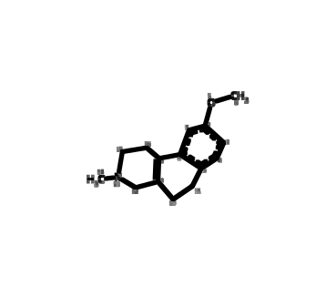 COc1ccc2c(c1)C1=C(CC2)CN(C)CC1